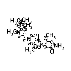 COc1cc(N)c(Cl)cc1C(=O)NC1CCN(CCCN(C)C(=O)OC(C)(C)C)CC1OC